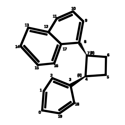 c1ccc([C@@H]2CC[C@H]2c2cccc3ccccc23)cc1